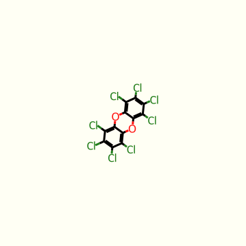 Clc1c(Cl)c(Cl)c2c(c1Cl)Oc1c(Cl)c(Cl)c(Cl)c(Cl)c1O2